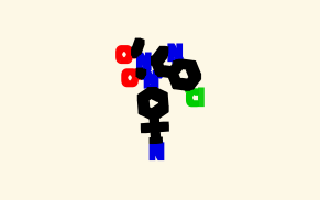 CC(=O)n1c(=O)n(-c2ccc(C(C)(C)C#N)cc2)c2c3cc(Cl)ccc3ncc21